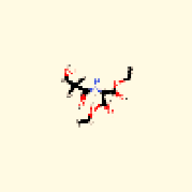 CCOC(=O)C(NC(=O)C(C)(C)CO)C(=O)OCC